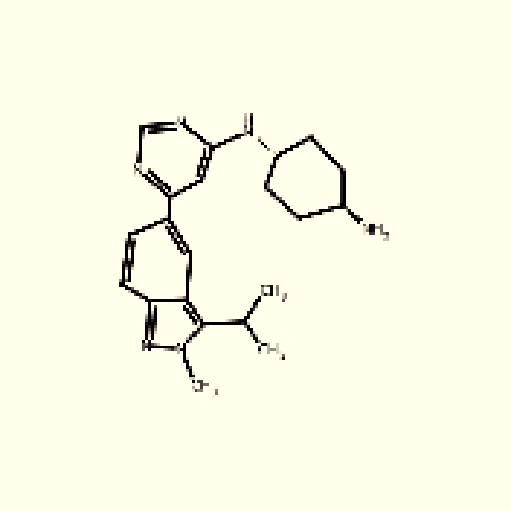 CC(C)c1c2cc(-c3cc(N[C@H]4CC[C@H](N)CC4)ncn3)ccc2nn1C